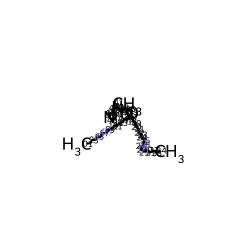 CCCC/C=C/C/C=C/CCCCCCCC1(CCCCCCCC/C=C\C/C=C\CCCCC)OCC(CCN(C)CC2C=NC=CC2)O1